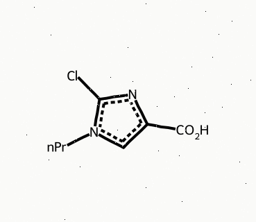 CCCn1cc(C(=O)O)nc1Cl